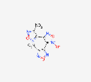 O=[N+]([O-])c1nonc1-c1no[n+]([O-])c1-c1nonc1[N+](=O)[O-]